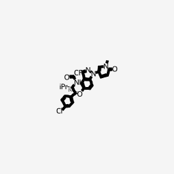 CC(C)[C@H](NC(=O)C(F)(F)F)[C@H](Oc1ccc2c(cnn2-c2ccc(=O)n(C)c2)c1)c1ccc(Cl)cc1